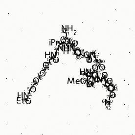 CCC(=O)NCCOCCOCCOCCOCCC(=O)NCCN[C@H](C(=O)NC(CCCCN)C(=O)Nc1ccc(COC(=O)N(C)CCN(C)C(=O)Oc2cc3c(c4c(C(=O)OC)c(C)[nH]c24)[C@H](CC)CN3C(=O)c2cc3cc(OCCN(C)C)ccc3o2)cc1)C(C)C